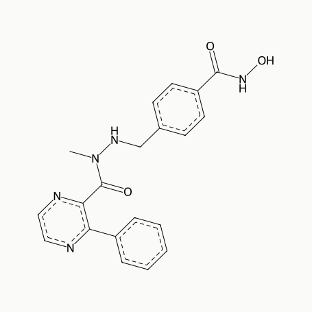 CN(NCc1ccc(C(=O)NO)cc1)C(=O)c1nccnc1-c1ccccc1